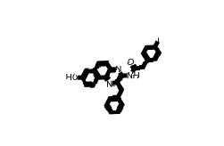 O=C(Cc1ccc(I)cc1)Nc1nc2ccc3cc(O)ccc3c2nc1Cc1ccccc1